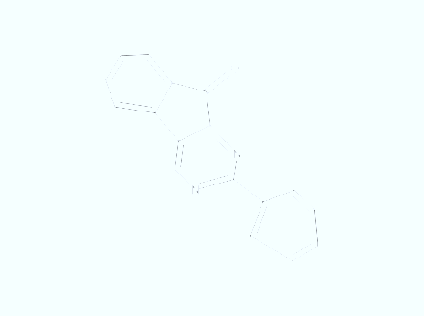 O=C1c2ccccc2-c2cnc(-c3ccccc3)nc21